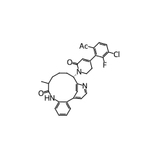 CC(=O)c1ccc(Cl)c(F)c1C1=CC(=O)N([C@H]2CCCC(C)C(=O)Nc3ccccc3-c3ccnc2c3)CC1